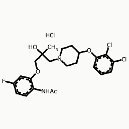 CC(=O)Nc1ccc(F)cc1OCC(C)(O)CN1CCC(Oc2cccc(Cl)c2Cl)CC1.Cl